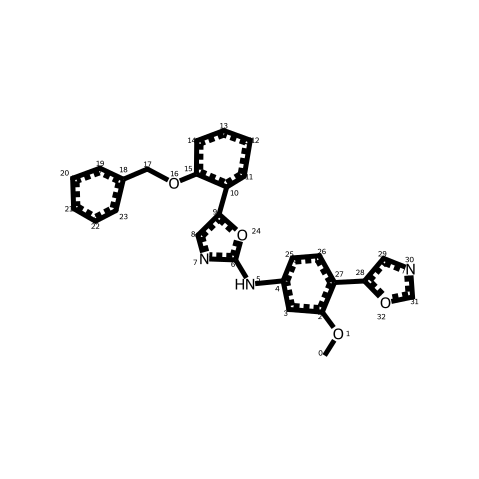 COc1cc(Nc2ncc(-c3ccccc3OCc3ccccc3)o2)ccc1-c1cnco1